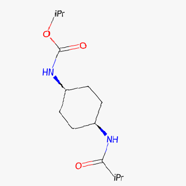 CC(C)OC(=O)N[C@H]1CC[C@@H](NC(=O)C(C)C)CC1